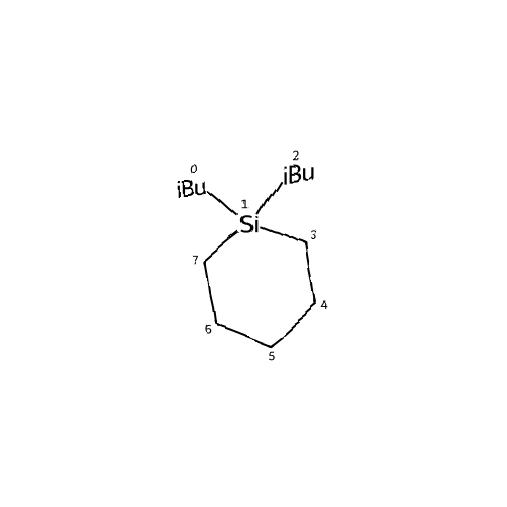 CCC(C)[Si]1(C(C)CC)CCCCC1